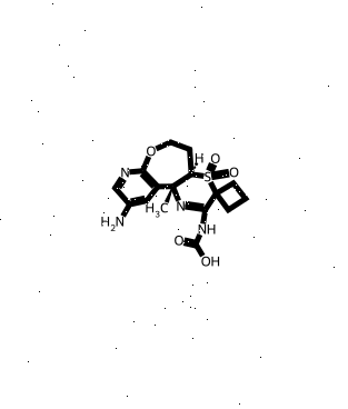 C[C@]12N=C(NC(=O)O)C3(CCC3)S(=O)(=O)[C@@H]1CCOc1ncc(N)cc12